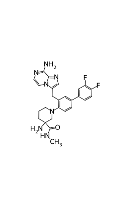 CNC(=O)C1(N)CCCN(c2ccc(-c3ccc(F)c(F)c3)cc2Cc2cnc3c(N)nccn23)C1